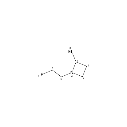 CCC1CCN1CCF